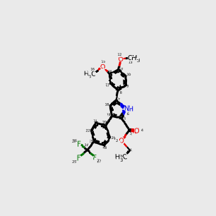 CCOC(=O)c1[nH]c(-c2ccc(OC)c(OC)c2)cc1-c1ccc(C(F)(F)F)cc1